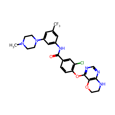 CN1CCN(c2cc(NC(=O)c3ccc(Oc4ncnc5c4OCCN5)c(Cl)c3)cc(C(F)(F)F)c2)CC1